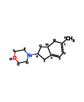 CC1=CC=C2CC(N3CCOCC3)CC2C1